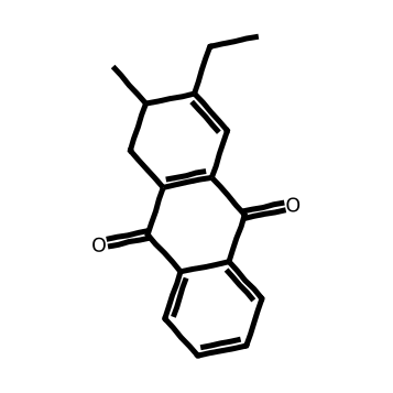 CCC1=CC2=C(CC1C)C(=O)c1ccccc1C2=O